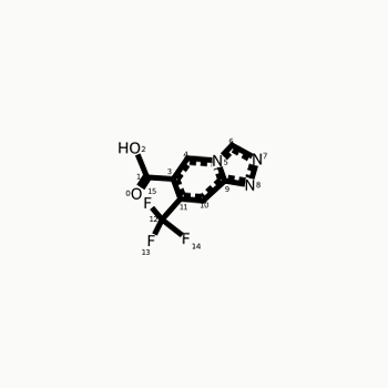 O=C(O)c1cn2cnnc2cc1C(F)(F)F